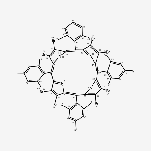 Cc1cc(C)c(-c2c3nc(c(-c4c(C)cc(C)cc4C)c4[nH]c(c(Br)c4Br)c(-c4c(C)cc(C)cc4C)c4nc(c(-c5c(C)cccc5C)c5[nH]c2c(Br)c5Br)C(Br)=C4Br)C(Br)=C3Br)c(C)c1